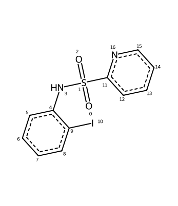 O=S(=O)(Nc1ccccc1I)c1ccccn1